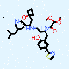 COC(OC)C(=O)N[C@@H](Cc1cccc(-c2nccs2)c1)[C@H](O)CN[C@H]1CC2(CCC2)Oc2ncc(CC(C)C)cc21